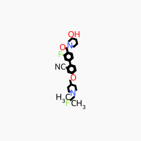 CC(C)(F)CN1CCC(COc2ccc(-c3ccc(C(=O)N4CCCC(O)C4)c(F)c3)c(C#N)c2)CC1